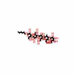 CCCCCCO[C@@H]1OC(CO)[C@@H](O[C@@H]2OC(CO)[C@H](O[C@H]3OC(CO)[C@H](O)C(O[C@@H]4OC(CO)[C@H](O)C(O[C@@H]5OC(CO)[C@H](O)C(O)C5O)C4C)C3O)C(O)C2O)C(O)C1O